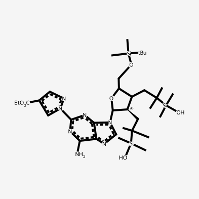 CCOC(=O)c1cnn(-c2nc(N)c3ncn(C4OC(CO[Si](C)(C)C(C)(C)C)C(CC(C)(C)[Si](C)(C)O)[C@H]4CC(C)(C)[Si](C)(C)O)c3n2)c1